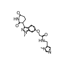 Cn1cncc1CNC(=O)COc1ccc2c(C3CCC(=O)NC3=O)nn(C)c2c1